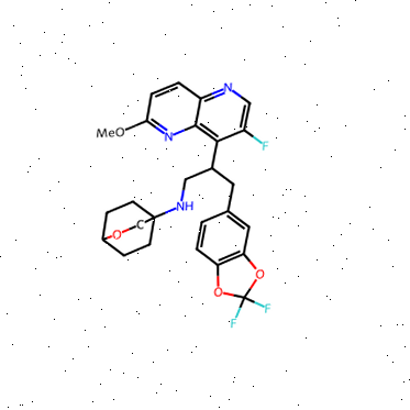 COc1ccc2ncc(F)c(C(CNC34CCC(CC3)OC4)Cc3ccc4c(c3)OC(F)(F)O4)c2n1